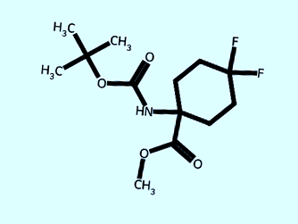 COC(=O)C1(NC(=O)OC(C)(C)C)CCC(F)(F)CC1